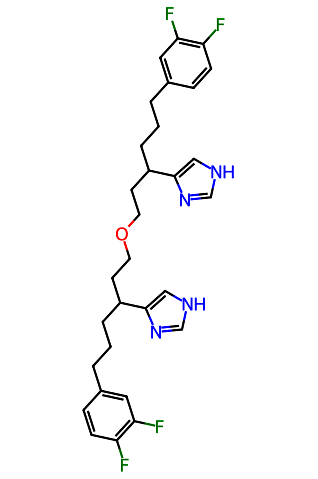 Fc1ccc(CCCC(CCOCCC(CCCc2ccc(F)c(F)c2)c2c[nH]cn2)c2c[nH]cn2)cc1F